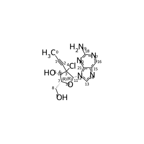 CC#CC1(Cl)[C@@H](O)[C@@H](CO)O[C@H]1n1cnc2cnc(N)nc21